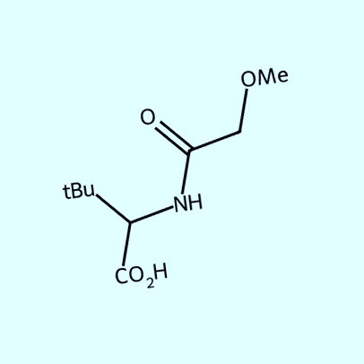 COCC(=O)NC(C(=O)O)C(C)(C)C